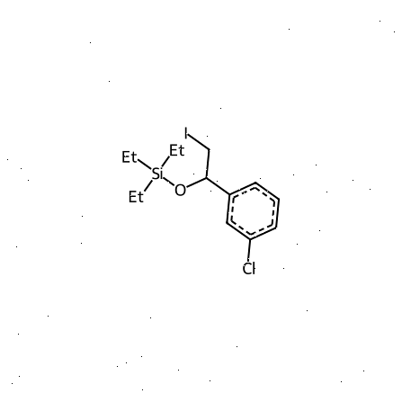 CC[Si](CC)(CC)OC(CI)c1cccc(Cl)c1